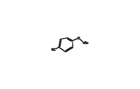 [CH2]CCCOc1ccc(C#N)cc1